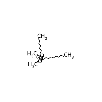 CCCCCCCCCC[Si](OCC)(OCC)OCCCCCCCC